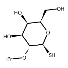 CC(C)O[C@@H]1[C@@H](O)[C@@H](O)[C@@H](CO)O[C@H]1S